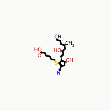 CCCC[C@@H](C)C[C@H](O)C=C[C@@H]1C(SCCCCCC(=O)O)=C(C#N)C[C@H]1O